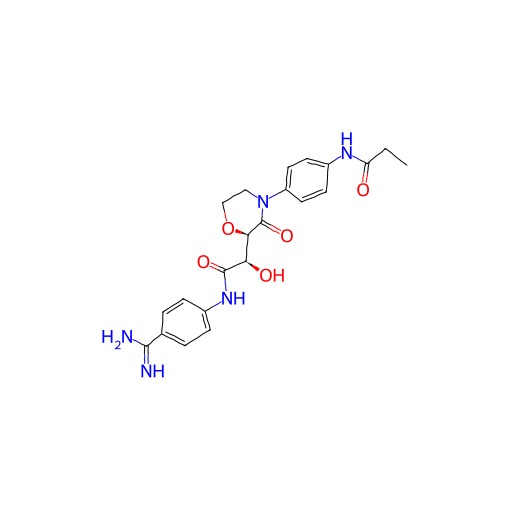 CCC(=O)Nc1ccc(N2CCO[C@H]([C@@H](O)C(=O)Nc3ccc(C(=N)N)cc3)C2=O)cc1